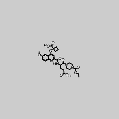 CCOC(=O)N1CCN(C(=O)C(CCC(=O)O)NC(=O)c2cc(OC3(C(=O)O)CCC3)c3cc(OC)ccc3n2)CC1